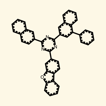 c1ccc(-c2cc(-c3nc(-c4ccc5ccccc5c4)nc(-c4ccc5c(c4)oc4ccccc45)n3)cc3ccccc23)cc1